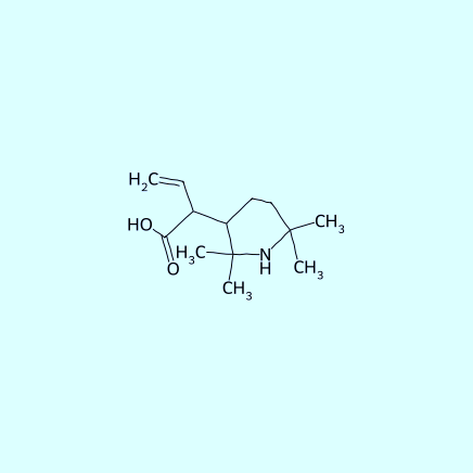 C=CC(C(=O)O)C1CCC(C)(C)NC1(C)C